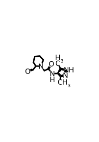 Cc1n[nH]c(C)c1NC(=O)CN1CCCCC1C=O